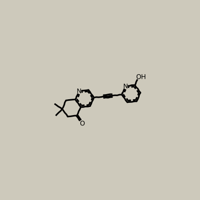 CC1(C)CC(=O)c2cc(C#Cc3cccc(O)n3)cnc2C1